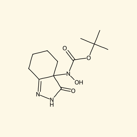 CC(C)(C)OC(=O)N(O)C12CCCCC1=NNC2=O